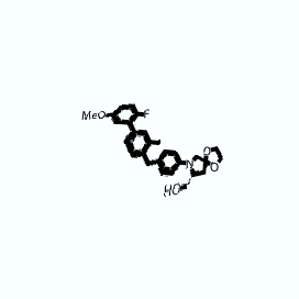 COc1ccc(F)c(-c2ccc(Cc3ccc(N4CC5(C[C@@H]4CO)OCCO5)cc3)c(C)c2)c1